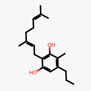 CCCc1cc(O)c(C/C=C(\C)CCC=C(C)C)c(O)c1C